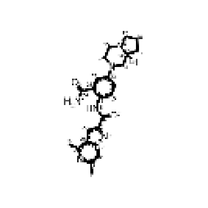 Cc1cn2nc(C(=O)Nc3ccc(N4CCN5CCC[C@@H]5C4)cc3C(N)=O)cc2c(C)n1